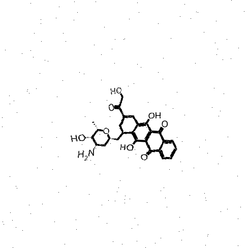 C[C@@H]1O[C@@H](CC2CC(C(=O)CO)Cc3c(O)c4c(c(O)c32)C(=O)c2ccccc2C4=O)C[C@H](N)[C@@H]1O